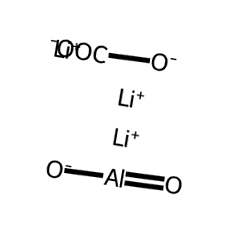 O=C([O-])[O-].[Li+].[Li+].[Li+].[O]=[Al][O-]